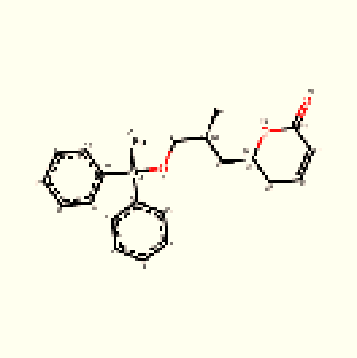 C[C@H](CO[Si](c1ccccc1)(c1ccccc1)C(C)(C)C)C[C@@H]1CC=CC(=O)O1